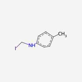 Cc1ccc(NCI)cc1